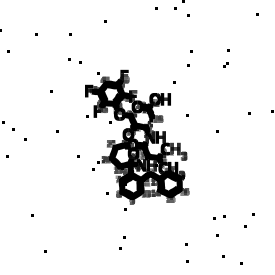 CC(C)[C@H](NC1(c2ccccc2Cc2ccccc2)CCCCO1)C(=O)N[C@@H](CC(=O)O)C(=O)COc1c(F)c(F)cc(F)c1F